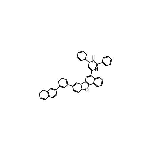 C1=CCC(C2C=C(c3cc4c(c5ccccc35)OC3C=CC(C5=CCCC(c6ccc7c(c6)CCC=C7)=C5)=CC43)N=C(c3ccccc3)N2)C=C1